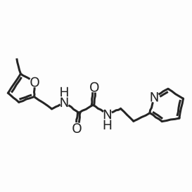 Cc1ccc(CNC(=O)C(=O)NCCc2ccccn2)o1